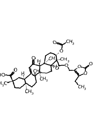 CCc1oc(=O)oc1COC(=O)[C@]1(C)[C@@H](OC(C)=O)CC[C@@]2(C)[C@H]1CC[C@]1(C)[C@@H]2C(=O)C=C2[C@@H]3C[C@@](C)(C(=O)O)CC[C@]3(C)CC[C@]21C